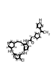 C=C(c1cc[nH]n1)N1CC[C@@H](CC(=O)Nc2ccc3cc2CCC2C=NC=C(C2)Nc2ncc(Cl)c(n2)N3)C1